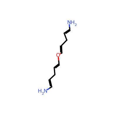 NC=CCC=COC=CCC=CN